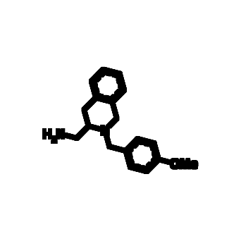 COc1ccc(CN2Cc3ccccc3CC2CN)cc1